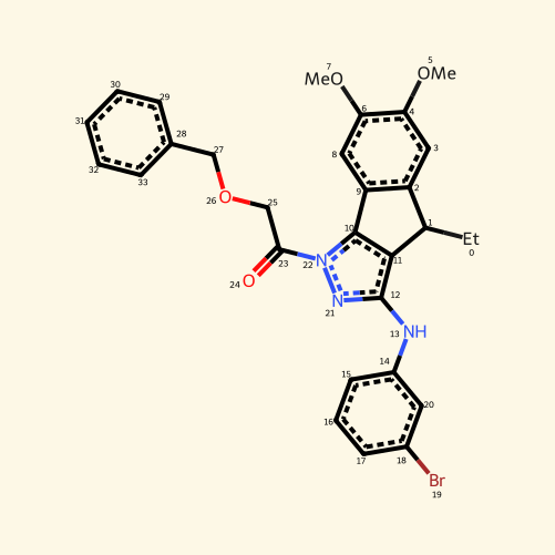 CCC1c2cc(OC)c(OC)cc2-c2c1c(Nc1cccc(Br)c1)nn2C(=O)COCc1ccccc1